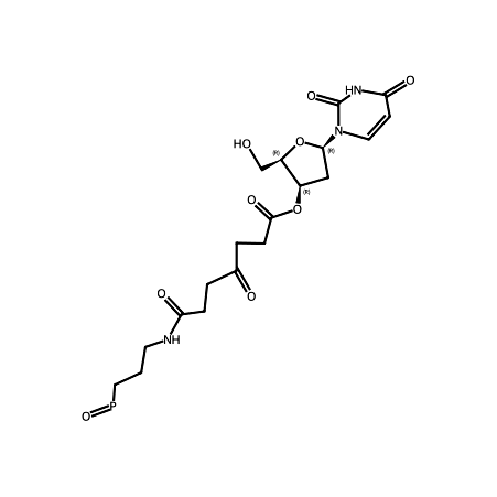 O=PCCCNC(=O)CCC(=O)CCC(=O)O[C@@H]1C[C@H](n2ccc(=O)[nH]c2=O)O[C@@H]1CO